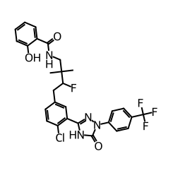 CC(C)(CNC(=O)c1ccccc1O)C(F)Cc1ccc(Cl)c(-c2nn(-c3ccc(C(F)(F)F)cc3)c(=O)[nH]2)c1